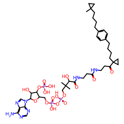 CC1(CCCCc2ccc(CCCCC3(C(=O)CCNC(=O)CCNC(=O)C(O)C(C)(C)COP(=O)(O)OP(=O)(O)OCC4OC(n5cnc6c(N)ncnc65)C(O)C4OP(=O)(O)O)CC3)cc2)CC1